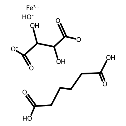 O=C(O)CCCCC(=O)O.O=C([O-])C(O)C(O)C(=O)[O-].[Fe+3].[OH-]